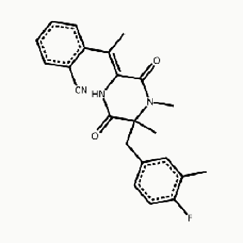 CC(=C1NC(=O)C(C)(Cc2ccc(F)c(C)c2)N(C)C1=O)c1ccccc1C#N